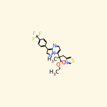 CCOC(=O)C(C)(Cc1cscn1)c1ccnc2c(-c3ccc(C(F)(F)F)cc3)cnn12